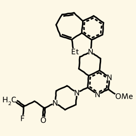 C=C(F)CC(=O)N1CCN(c2nc(OC)nc3c2CCN(c2cccc4c2C(CC)=CCC=C4)C3)CC1